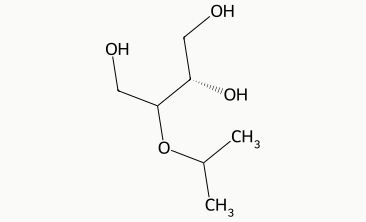 CC(C)OC(CO)[C@@H](O)CO